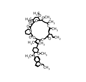 C=CCC1/C=C(\C)CC(C)CC(OC)C2OC(O)(C(=O)C(=O)N3CCCCC3C(=O)OC(C(C)=CC3CCC(N(C)c4ccc5c(ccn5CC)c4)C(OC)C3)C(C)CCC1=O)C(C)CC2OC